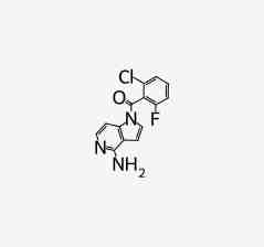 Nc1nccc2c1ccn2C(=O)c1c(F)cccc1Cl